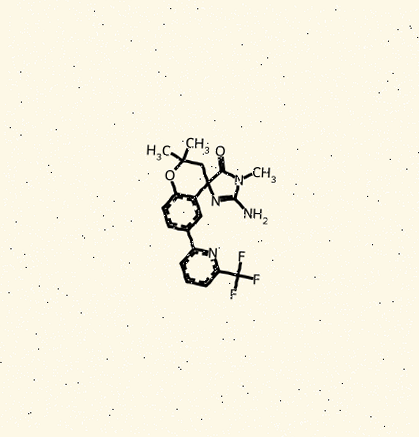 CN1C(=O)C2(CC(C)(C)Oc3ccc(-c4cccc(C(F)(F)F)n4)cc32)N=C1N